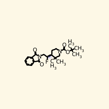 CC(C)(C)OC(=O)N1CC/C(=C(/F)CN2C(=O)c3ccccc3C2=O)C(C)(C)C1